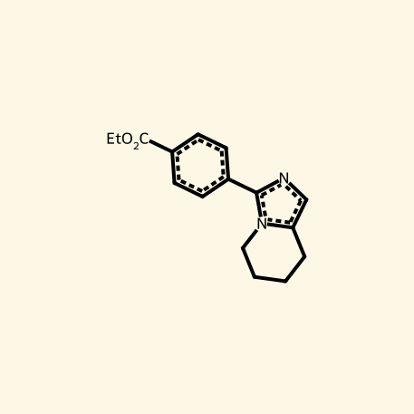 CCOC(=O)c1ccc(-c2ncc3n2CCCC3)cc1